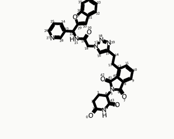 O=C1CCC(N2C(=O)c3cccc(CCc4cn(CC(=O)NC(c5cccnc5)c5cc6ccccc6o5)nn4)c3C2=O)C(=O)N1